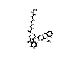 COC(=O)[C@H](Cc1ccccc1)NC(=O)[C@@H]1CN(C(=O)CCCCCCC(=O)NO)Cc2[nH]c3ccccc3c21